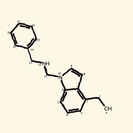 OCc1cccc2c1ccn2CNCc1ccccc1